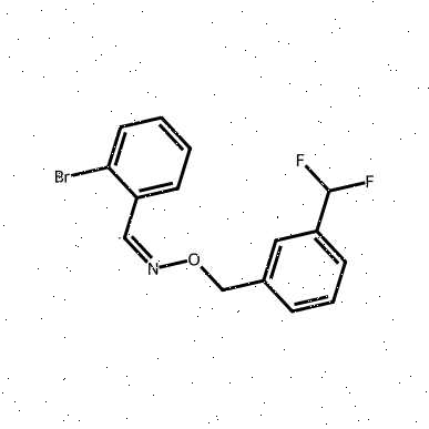 FC(F)c1cccc(CO/N=[C]\c2ccccc2Br)c1